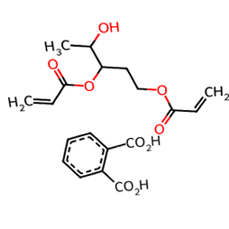 C=CC(=O)OCCC(OC(=O)C=C)C(C)O.O=C(O)c1ccccc1C(=O)O